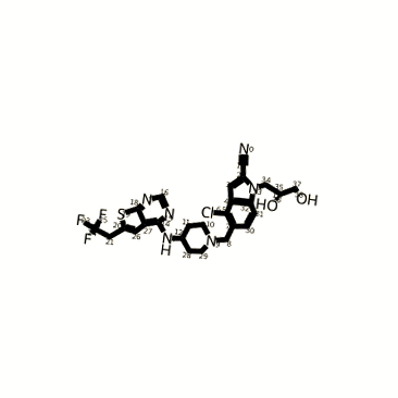 N#Cc1cc2c(Cl)c(CN3CCC(Nc4ncnc5sc(CC(F)(F)F)cc45)CC3)ccc2n1C[C@H](O)CO